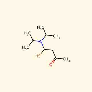 CC(=O)CC(S)N(C(C)C)C(C)C